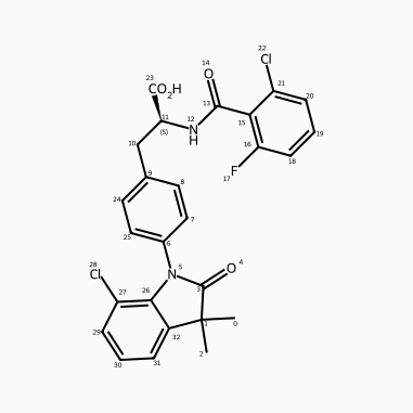 CC1(C)C(=O)N(c2ccc(C[C@H](NC(=O)c3c(F)cccc3Cl)C(=O)O)cc2)c2c(Cl)cccc21